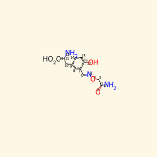 NC(=O)CO/N=C/c1cc(CC(N)C(=O)O)ccc1O